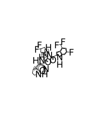 N#C[C@@H](C[C@@H]1CCCNC1=O)NC(=O)[C@@H]1[C@@H]2CC(F)(F)C[C@@H]2CN1C(=O)c1cc2c(C(F)F)cc(F)cc2[nH]1